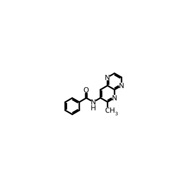 Cc1nc2nccnc2cc1NC(=O)c1ccccc1